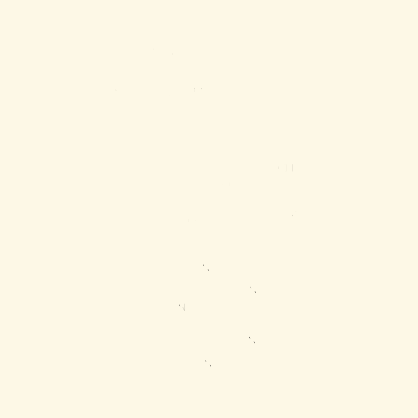 CC(C)C(=O)OCCCOC(OC(=O)C(C)C)n1cnc2c(N)ncnc21